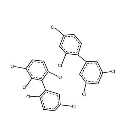 Clc1cc(Cl)cc(-c2ccc(Cl)cc2Cl)c1.Clc1ccc(Cl)c(-c2c(Cl)ccc(Cl)c2Cl)c1